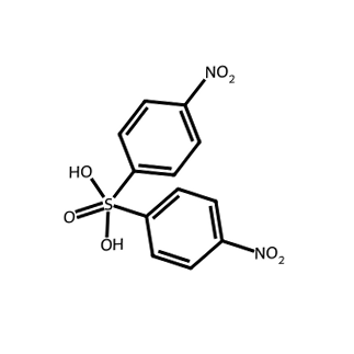 O=[N+]([O-])c1ccc(S(=O)(O)(O)c2ccc([N+](=O)[O-])cc2)cc1